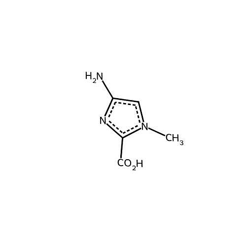 Cn1cc(N)nc1C(=O)O